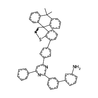 CC1(C)c2ccccc2C2(c3ccccc3Sc3c(-c4ccc(-c5cc(-c6ccccc6)nc(-c6cccc(-c7cccc(N)c7)c6)n5)cc4)cccc32)c2ccccc21